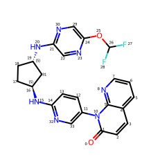 O=c1ccc2cccnc2n1-c1ccc(N[C@H]2CC[C@H](Nc3cnc(OC(F)F)cn3)C2)nc1